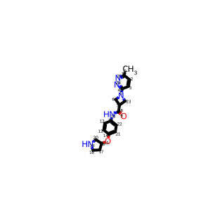 Cc1ccc(N2CC(C(=O)Nc3ccc(OC4CCNC4)cc3)C2)nn1